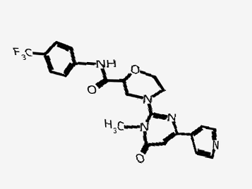 Cn1c(N2CCOC(C(=O)Nc3ccc(C(F)(F)F)cc3)C2)nc(-c2ccncc2)cc1=O